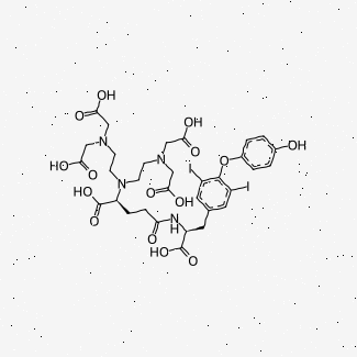 O=C(O)CN(CCN(CCN(CC(=O)O)CC(=O)O)[C@@H](CCC(=O)N[C@@H](Cc1cc(I)c(Oc2ccc(O)cc2)c(I)c1)C(=O)O)C(=O)O)CC(=O)O